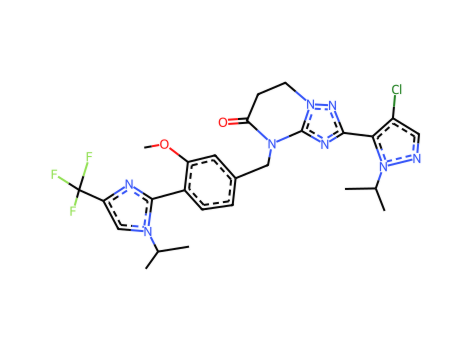 COc1cc(CN2C(=O)CCn3nc(-c4c(Cl)cnn4C(C)C)nc32)ccc1-c1nc(C(F)(F)F)cn1C(C)C